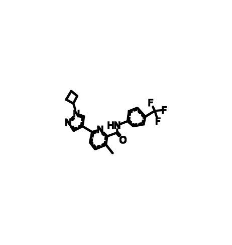 Cc1ccc(-c2cnn(C3CCC3)c2)nc1C(=O)Nc1ccc(C(F)(F)F)cc1